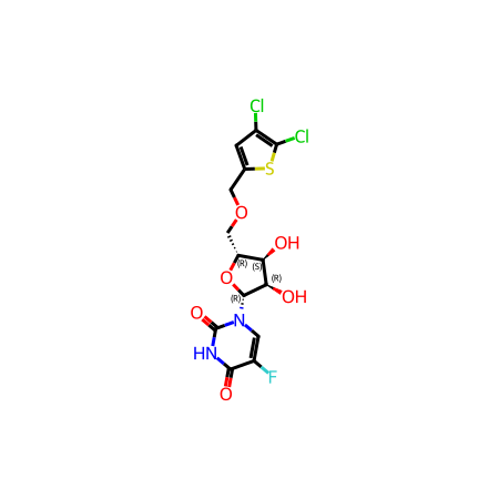 O=c1[nH]c(=O)n([C@@H]2O[C@H](COCc3cc(Cl)c(Cl)s3)[C@@H](O)[C@H]2O)cc1F